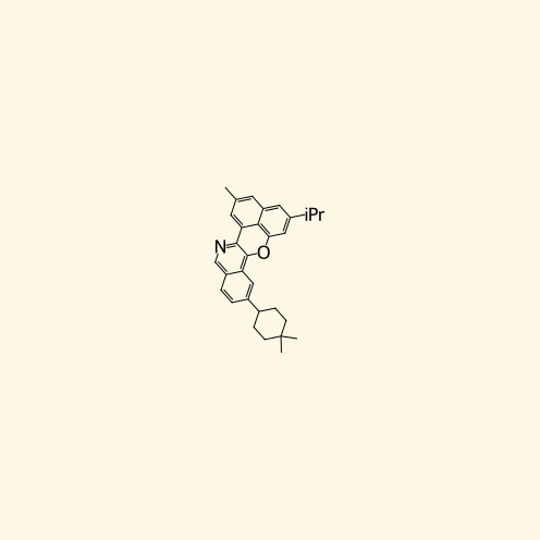 Cc1cc2c3c(cc(C(C)C)cc3c1)Oc1c-2ncc2ccc(C3CCC(C)(C)CC3)cc12